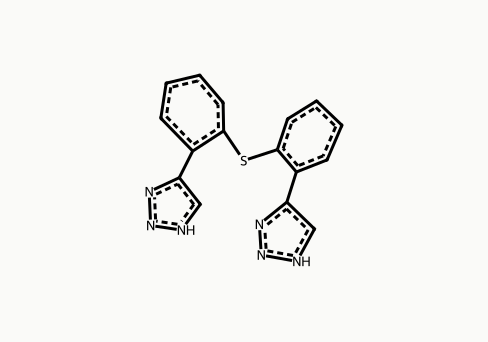 c1ccc(-c2c[nH]nn2)c(Sc2ccccc2-c2c[nH]nn2)c1